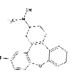 CN(C)C1CCC2=C(C1)c1cc(Cl)ccc1Oc1ccccc12